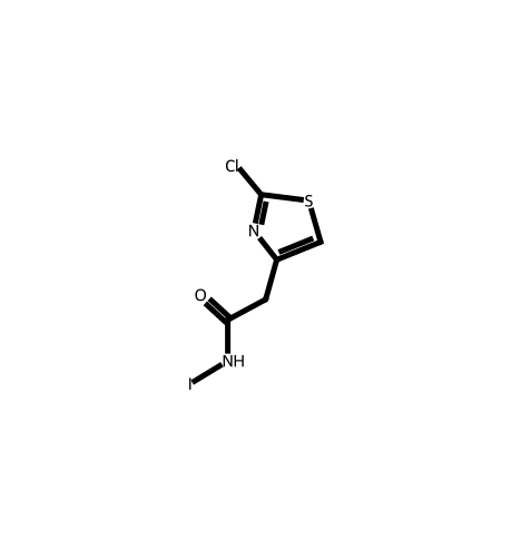 O=C(Cc1csc(Cl)n1)NI